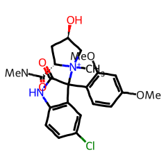 CNC(=O)[C@@H]1C[C@@H](O)C[N+]1(C)C1(c2ccc(OC)cc2OC)C(=O)Nc2ccc(Cl)cc21